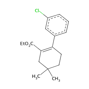 CCOC(=O)C1=C(c2cccc(Cl)c2)CCC(C)(C)C1